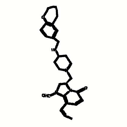 C/C=C\c1ccc(=O)n2c1N(C=O)C[C@H]2CN1CCC(NCc2ccc3c(c2)CCCO3)CC1